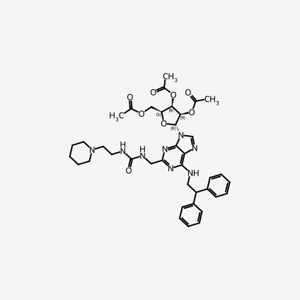 CC(=O)OC[C@@H]1O[C@@H](n2cnc3c(NCC(c4ccccc4)c4ccccc4)nc(CNC(=O)NCCN4CCCCC4)nc32)[C@H](OC(C)=O)[C@@H]1OC(C)=O